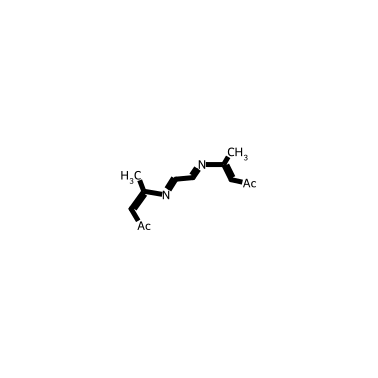 CC(=O)C=C(C)N=CC=NC(C)=CC(C)=O